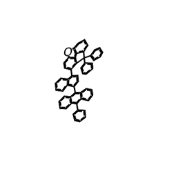 c1ccc(-c2c3ccccc3c(-c3ccc(-c4ccc5oc6cccc7c6c5c4C7(c4ccccc4)c4ccccc4)c4ccccc34)c3ccccc23)cc1